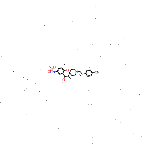 CC1C(=O)c2cc(NS(C)(=O)=O)ccc2OC12CCN(CCc1ccc(C#N)cc1)CC2